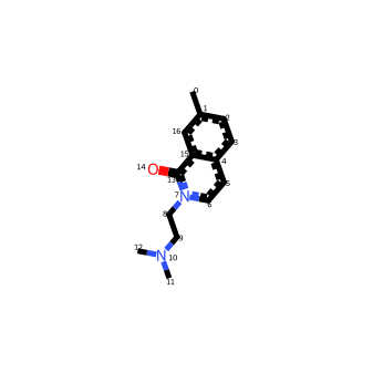 Cc1ccc2ccn(CCN(C)C)c(=O)c2c1